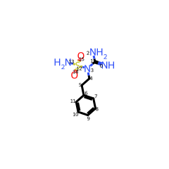 N=C(N)N(CCc1ccccc1)S(N)(=O)=O